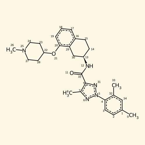 Cc1ccc(-n2nc(C)c(C(=O)N[C@@H]3CCc4cccc(OC5CCN(C)CC5)c4C3)n2)c(C)c1